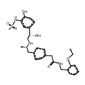 CCOc1ccccc1CNC(=O)Cc1ccc(C[C@@H](C)NC[C@@H](O)c2ccc(O)c(NS(C)(=O)=O)c2)cc1